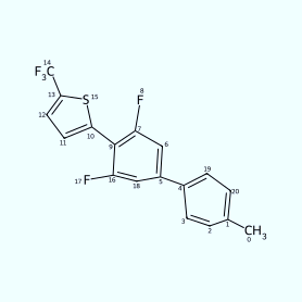 Cc1ccc(-c2cc(F)c(-c3ccc(C(F)(F)F)s3)c(F)c2)cc1